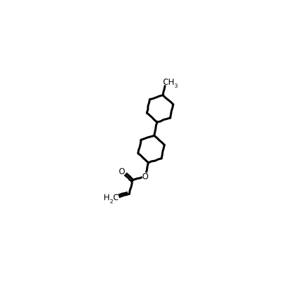 C=CC(=O)OC1CCC(C2CCC(C)CC2)CC1